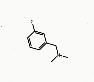 CN(C)Cc1cc[c]c(F)c1